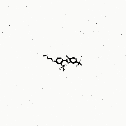 CCS(=O)(=O)c1cc(OCCOC)cnc1-c1nc2cc(C(F)(F)F)ncc2n1C